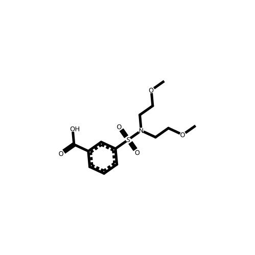 COCCN(CCOC)S(=O)(=O)c1cccc(C(=O)O)c1